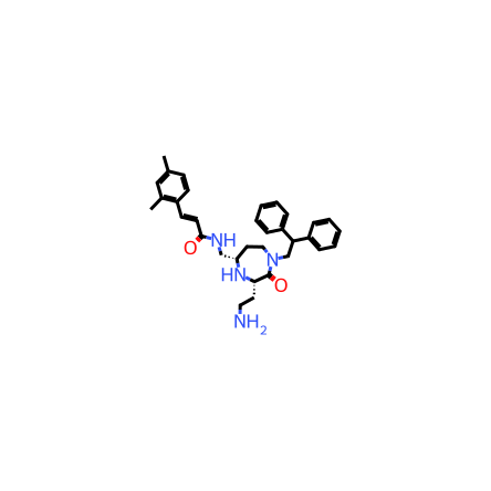 Cc1ccc(C=CC(=O)NC[C@@H]2CCN(CC(c3ccccc3)c3ccccc3)C(=O)[C@H](CCN)N2)c(C)c1